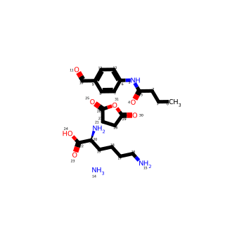 CCCC(=O)Nc1ccc(C=O)cc1.N.NCCCC[C@H](N)C(=O)O.O=C1CCC(=O)O1